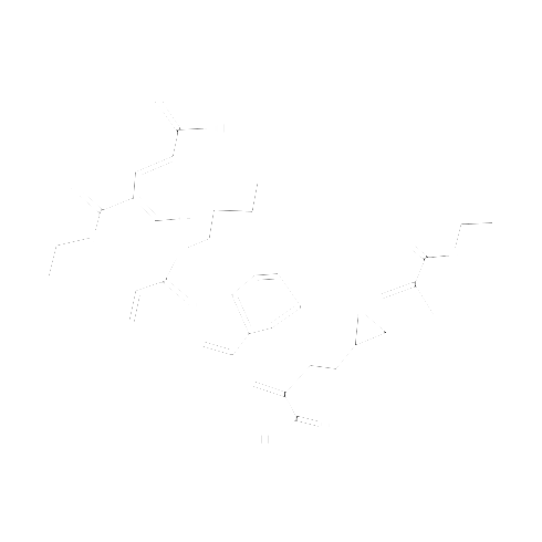 C=C(C)C(=O)OCC.C=C(CCC1CO1)C(=O)O.C=CC(=O)OCCCC.C=Cc1ccccc1.CCOC(=O)C(C=CC(=O)O)=CO